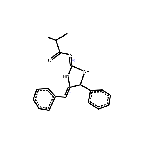 CC(C)C(=O)/N=C1\N/C(=C\c2ccccc2)C(c2ccccc2)N1